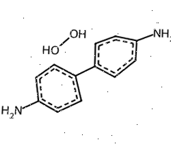 Nc1ccc(-c2ccc(N)cc2)cc1.OO